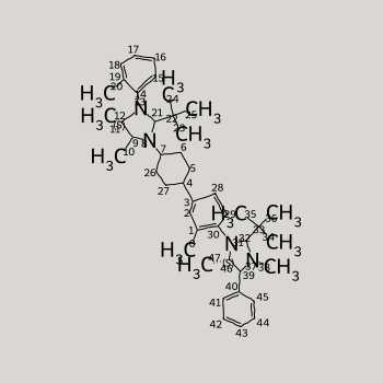 Cc1cc(C2CCC(N3C(C)[C@H](C)N(c4ccccc4C)C3C(C)(C)C)CC2)ccc1N1C(C(C)(C)C)N(C)C(c2ccccc2)[C@@H]1C